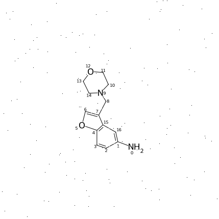 Nc1ccc2occ(CN3CCOCC3)c2c1